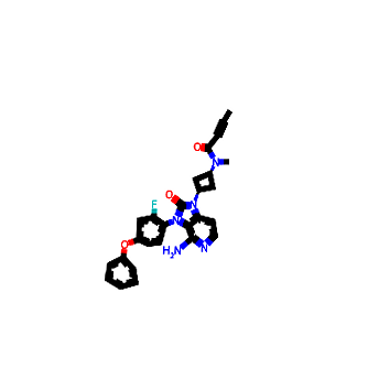 CC#CC(=O)N(C)[C@H]1C[C@@H](n2c(=O)n(-c3ccc(Oc4ccccc4)cc3F)c3c(N)nccc32)C1